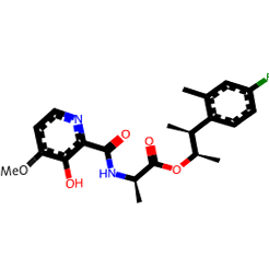 COc1ccnc(C(=O)N[C@H](C)C(=O)O[C@H](C)[C@@H](C)c2ccc(F)cc2C)c1O